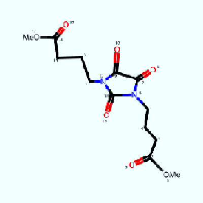 COC(=O)CCCN1C(=O)C(=O)N(CCCC(=O)OC)C1=O